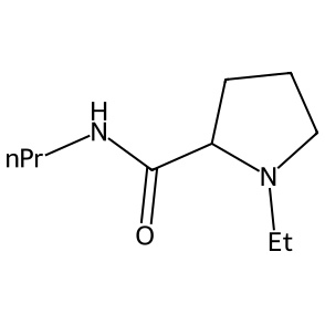 [CH2]CN1CCCC1C(=O)NCCC